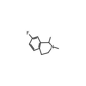 CC1c2cc(F)ccc2CCN1C